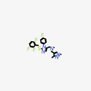 Cc1nn(C)cc1CN(C)Cc1cnc(SCc2c(F)ccc(F)c2F)n1-c1ccc(F)cc1